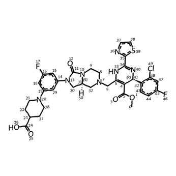 COC(=O)C1=C(CN2CCN3C(=O)N(c4cc(F)cc(N5CCC(C(=O)O)CC5)c4)C[C@@H]3C2)NC(c2nccs2)=N[C@H]1c1ccc(F)cc1Cl